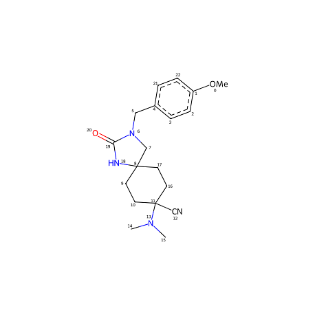 COc1ccc(CN2CC3(CCC(C#N)(N(C)C)CC3)NC2=O)cc1